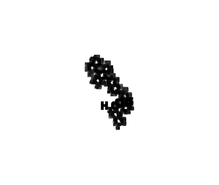 CC1(C)c2ccc3ccccc3c2-c2ccc3sc4ccc(-c5ccc6cc(-c7c8ccccc8c(-c8cccc9ccccc89)c8ccccc78)ccc6c5)cc4c3c21